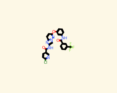 O=C(Nc1cccc(Oc2ccc3nc(NC(=O)c4ccc(Cl)nc4)cn3n2)c1)c1cccc(C(F)(F)F)c1